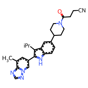 Cc1cc(-c2[nH]c3ccc(C4CCN(C(=O)CCC#N)CC4)cc3c2C(C)C)cn2ncnc12